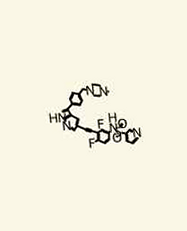 CN1CCN(Cc2ccc(-c3c[nH]c4ncc(C#Cc5c(F)ccc(NS(=O)(=O)c6cccnc6)c5F)cc34)cc2)CC1